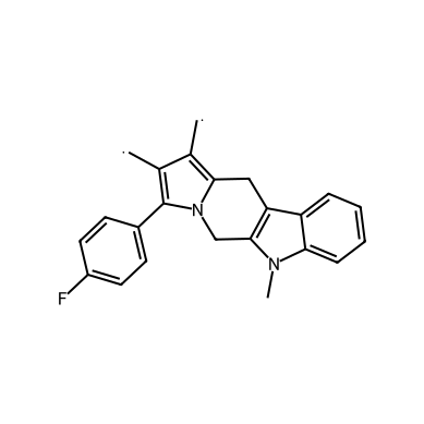 [CH2]c1c([CH2])c(-c2ccc(F)cc2)n2c1Cc1c(n(C)c3ccccc13)C2